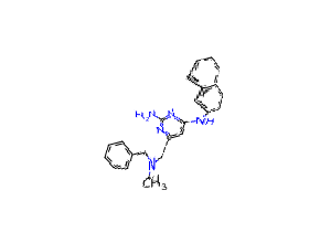 CN(Cc1ccccc1)Cc1cc(Nc2ccc3ccccc3c2)nc(N)n1